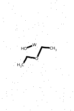 CCOCC.[OH][W]